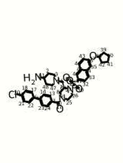 NC1CCN(C(=O)[C@@H]2CN(C(=O)c3ccc(-c4ccc(Cl)cc4)cc3)CCN2S(=O)(=O)c2ccc3cc(OC4CCCC4)ccc3c2)CC1